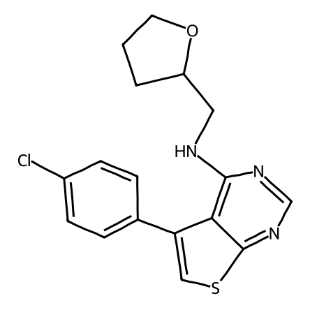 Clc1ccc(-c2csc3ncnc(NCC4CCCO4)c23)cc1